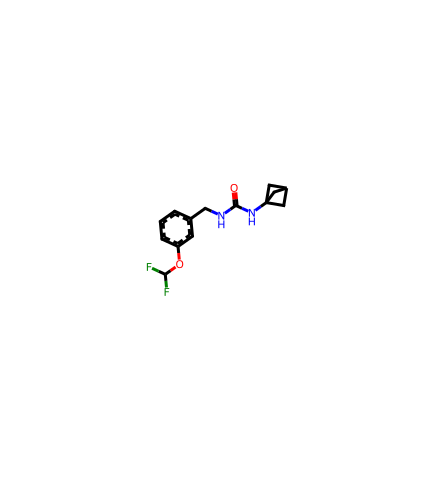 O=C(NCc1cccc(OC(F)F)c1)NC12CC(C1)C2